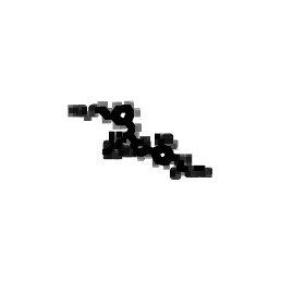 COC(=O)Nc1ccc(-c2c[nH]c(C(Cc3cccc(C=CC(=O)O)c3)NC(=O)OC(C)(C)C)n2)c([N+](=O)[O-])c1